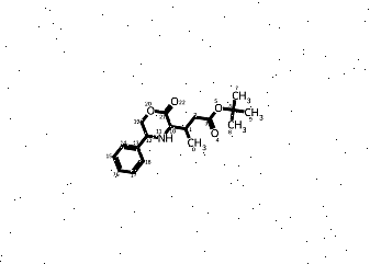 CC(CC(=O)OC(C)(C)C)C1NC(c2ccccc2)COC1=O